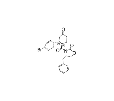 O=C1CC[C@@H](C(=O)N2C(=O)OCC2Cc2ccccc2)[C@H](c2ccc(Br)cc2)C1